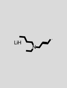 [CH2]C=CCN(CC)CCCC.[LiH]